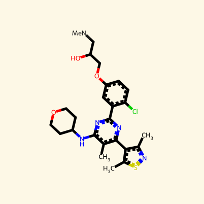 CNCC(O)COc1ccc(Cl)c(-c2nc(NC3CCOCC3)c(C)c(-c3c(C)nsc3C)n2)c1